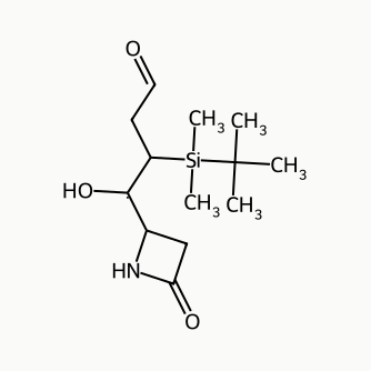 CC(C)(C)[Si](C)(C)C(CC=O)[C](O)C1CC(=O)N1